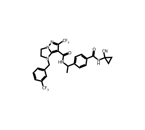 CC(NC(=O)c1c(C(F)(F)F)nn2c1N(Cc1cccc(C(F)(F)F)c1)CC2)c1ccc(C(=O)NC2(C#N)CC2)cc1